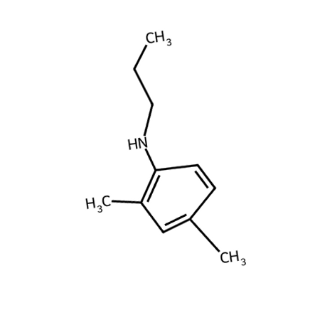 CCCNc1ccc(C)cc1C